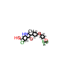 Cc1[nH]c2cc(CO)c(Cl)cc2c(=O)c1-c1ccc(Oc2ccc(OC(F)(F)F)cc2)cc1